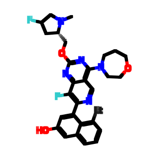 CCc1cccc2cc(O)cc(-c3ncc4c(N5CCCOCC5)nc(OC[C@@H]5CC(F)CN5C)nc4c3F)c12